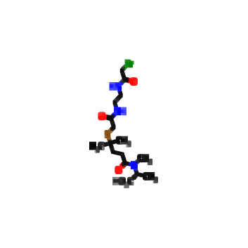 C[C@@H](C(=O)O)N(C)C(=O)CCC(C)(C)SCC(=O)NCCNC(=O)CBr